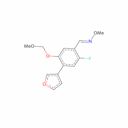 COCOc1cc(C=NOC)c(F)cc1-c1ccoc1